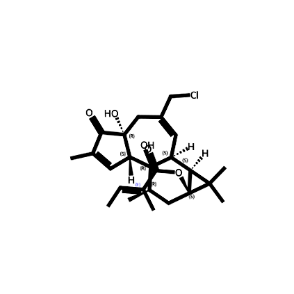 C/C=C(\C)C(=O)O[C@@]12C[C@@H](C)[C@@]3(O)[C@@H](C=C(CCl)C[C@]4(O)C(=O)C(C)=C[C@@H]34)[C@H]1C2(C)C